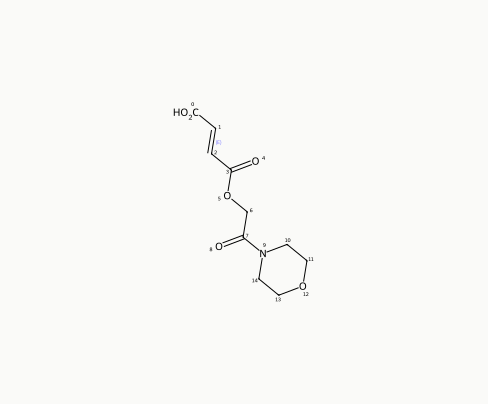 O=C(O)/C=C/C(=O)OCC(=O)N1CCOCC1